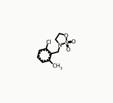 Cc1cccc(Cl)c1CN1CCOS1(=O)=O